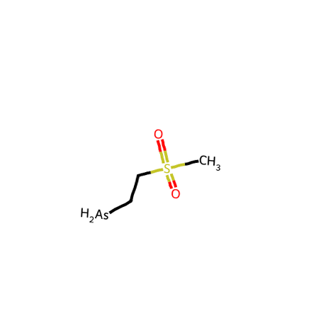 CS(=O)(=O)CC[AsH2]